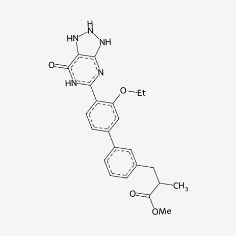 CCOc1cc(-c2cccc(CC(C)C(=O)OC)c2)ccc1-c1nc2c(c(=O)[nH]1)NNN2